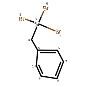 Br[Si](Br)(Br)Cc1ccccc1